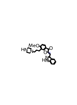 COc1ccc2c(c1CCCN1CCNCC1)O/C(=C\c1n[nH]c3ccccc13)C2=O